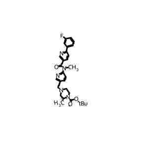 C[C@H]1CN(Cc2ccc(N(C)C(=O)c3ccc(-c4cccc(F)c4)nc3)nc2)CCN1C(=O)OC(C)(C)C